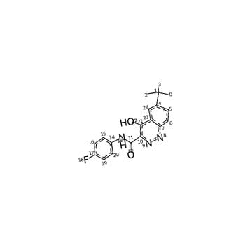 CC(C)(C)c1ccc2nnc(C(=O)Nc3ccc(F)cc3)c(O)c2c1